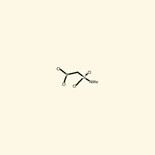 CN[Si](Cl)(Cl)CB(Cl)Cl